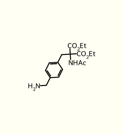 CCOC(=O)C(Cc1ccc(CN)cc1)(NC(C)=O)C(=O)OCC